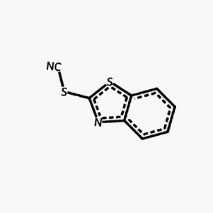 N#CSc1nc2ccccc2s1